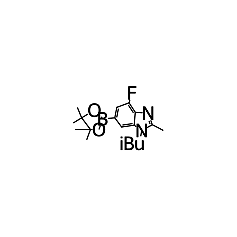 CCC(C)n1c(C)nc2c(F)cc(B3OC(C)(C)C(C)(C)O3)cc21